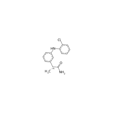 C[C@@H](C(N)=O)c1cccc(Nc2ccccc2Cl)c1